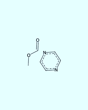 COC=O.c1cnccn1